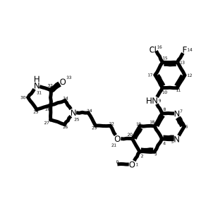 COc1cc2ncnc(Nc3ccc(F)c(Cl)c3)c2cc1OCCCN1CCC2(CCNC2=O)C1